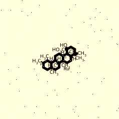 C[C@@H]1[C@H]2[C@H]3CC[C@@H]4[C@]5(C)[C@@H](CC[C@@]4(C)[C@]3(C)CC[C@@]2(C)CC[C@H]1C)C(C)(C)CCC5(O)C(=O)O.[Ru]